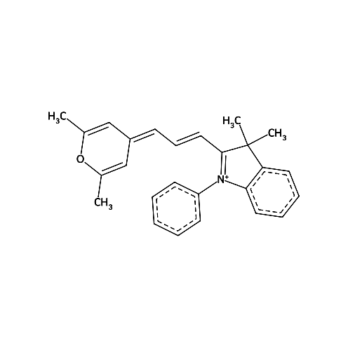 CC1=CC(=C/C=C/C2=[N+](c3ccccc3)c3ccccc3C2(C)C)C=C(C)O1